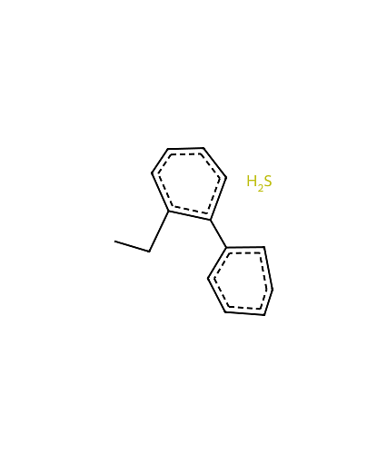 CCc1ccccc1-c1ccccc1.S